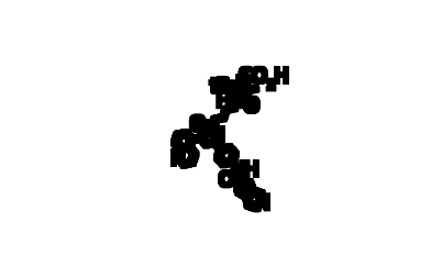 CC(C(=O)NCCCCn1nc(-c2ccc(NC(=O)N3Cc4ccncc4C3)cc2)cc(-c2cccc3ncccc23)c1=O)N(C(=O)O)C(C)(C)C